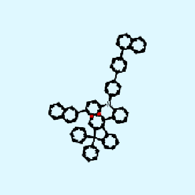 c1ccc(C2(c3ccccc3)c3ccccc3-c3c(-c4ccccc4N(c4ccc(-c5ccc(-c6cccc7ccccc67)cc5)cc4)c4ccc(-c5ccc6ccccc6c5)cc4)cccc32)cc1